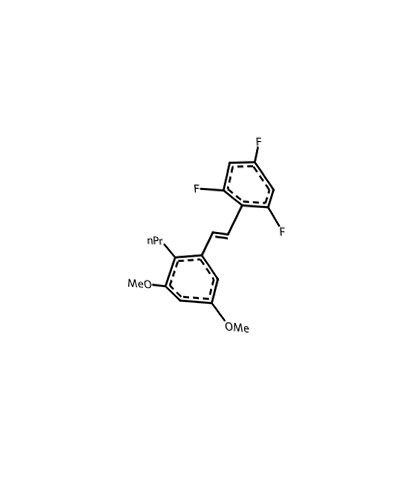 CCCc1c(C=Cc2c(F)cc(F)cc2F)cc(OC)cc1OC